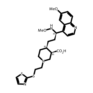 CON[C@H](CC[C@@H]1CCN(CCSc2nccs2)C[C@@H]1C(=O)O)c1ccnc2ccc(OC)cc12